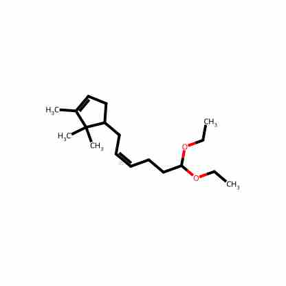 CCOC(CC/C=C\CC1CC=C(C)C1(C)C)OCC